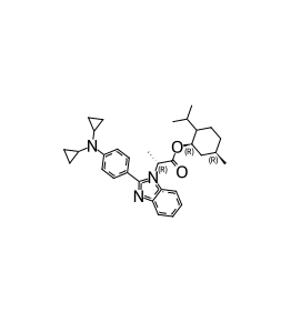 CC(C)C1CC[C@@H](C)C[C@H]1OC(=O)[C@@H](C)n1c(-c2ccc(N(C3CC3)C3CC3)cc2)nc2ccccc21